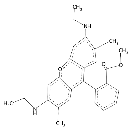 CCNc1cc2[o+]c3cc(NCC)c(C)cc3c(-c3ccccc3C(=O)OC)c2cc1C